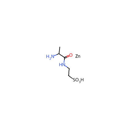 CC(N)C(=O)NCCS(=O)(=O)O.[Zn]